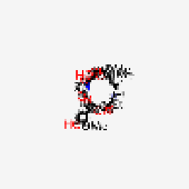 CCC1/C=C(\C)CC(C)CC(OC)C2OC(O)(C(C)CC2OC)C(O)C(=O)N2CCCCC2C(=O)OC(C(C)=CC2CCC(O)C(OC)C2)C(C)C(O)CC1=O